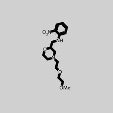 COCCOCCN1CCOC(CNc2ccccc2[N+](=O)[O-])C1